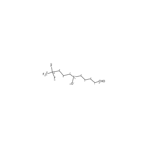 O=CCCCC[S+]([O-])CCCC(F)(F)C(F)(F)F